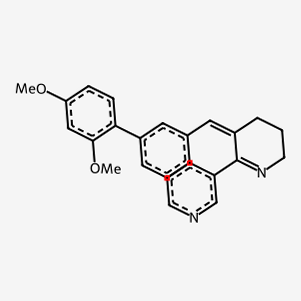 COc1ccc(-c2cccc(/C=C3/CCCN=C3c3cccnc3)c2)c(OC)c1